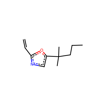 C=Cc1ncc(C(C)(C)CCC)o1